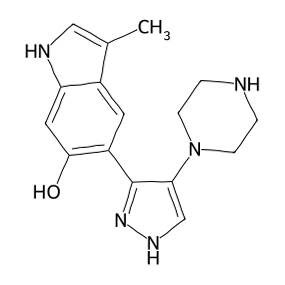 Cc1c[nH]c2cc(O)c(-c3n[nH]cc3N3CCNCC3)cc12